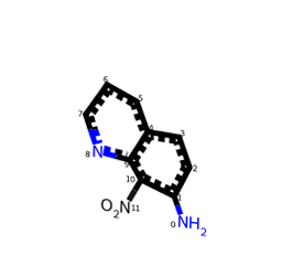 Nc1ccc2cccnc2c1[N+](=O)[O-]